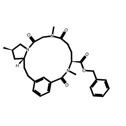 C[C@@H]1C[C@H]2CCc3cccc(c3)C(=O)N(C)[C@H](C(=O)OCc3ccccc3)CCC(=O)N(C)CC(=O)N2C1